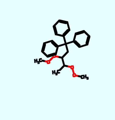 COOC(C)C(CC(c1ccccc1)(c1ccccc1)c1ccccc1)OOC